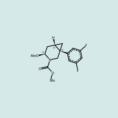 CO[C@H]1C[C@@H]2C[C@]2(c2cc(F)cc(F)c2)CN1C(=O)OC(C)(C)C